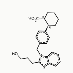 O=C(O)[C@@H]1CCCC[C@H]1c1ccc(Cn2c(CCCO)nc3ccccc32)cc1